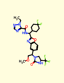 CCn1ncnc1C(=O)NC(c1nc2cc(C(COC)N3CC(C(F)(F)F)NC3=O)ccc2o1)C1CCC(F)(F)CC1